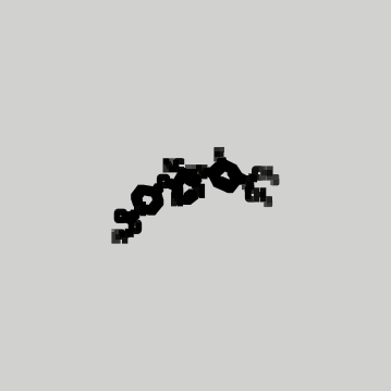 CC(C)OC(=O)N1CCC(Oc2ncnc(Nc3ccc(N(C)C)cc3F)c2C#N)CC1